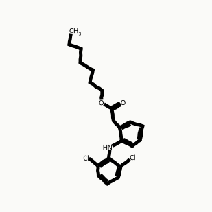 CCCCCCCOC(=O)Cc1ccccc1Nc1c(Cl)cccc1Cl